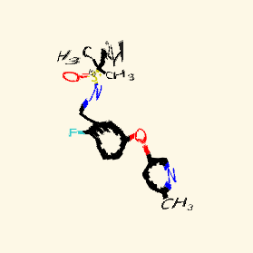 [2H]CC(C)(C)[S@@+]([O-])N=Cc1cc(Oc2ccc(C)nc2)ccc1F